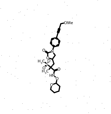 COCC#Cc1ccc(N2CC(CC(C)(C(=O)NOC3CCCCO3)S(C)(=O)=O)OC2=O)cc1